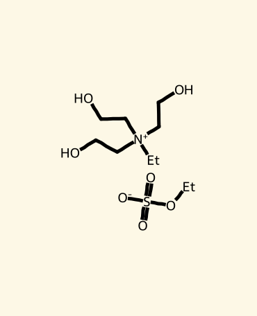 CCOS(=O)(=O)[O-].CC[N+](CCO)(CCO)CCO